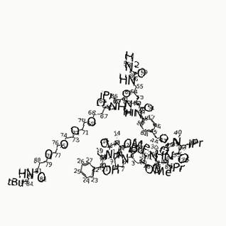 CC[C@H](C)[C@@H]([C@@H](CC(=O)N1CCC[C@H]1[C@H](OC)[C@@H](C)C(=O)N[C@H](C)[C@@H](O)c1ccccc1)OC)N(C)C(=O)[C@@H](NC(=O)[C@H](C(C)C)N(C)C(=O)OCc1ccc(NC(=O)[C@H](CCCNC(N)=O)NC(=O)[C@@H](NC(=O)CCOCCOCCOCCOCCC(=O)NCC(C)(C)C)C(C)C)cc1)C(C)C